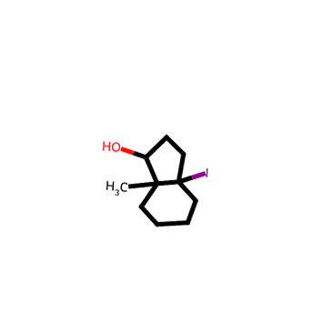 CC12CCCCC1(I)CCC2O